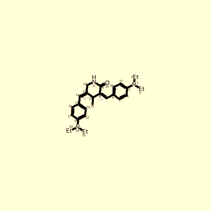 CCN(CC)c1ccc(/C=C2\C(=O)NC/C(=C/c3ccc(N(CC)CC)cc3)C2C)cc1